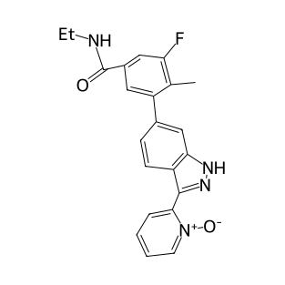 CCNC(=O)c1cc(F)c(C)c(-c2ccc3c(-c4cccc[n+]4[O-])n[nH]c3c2)c1